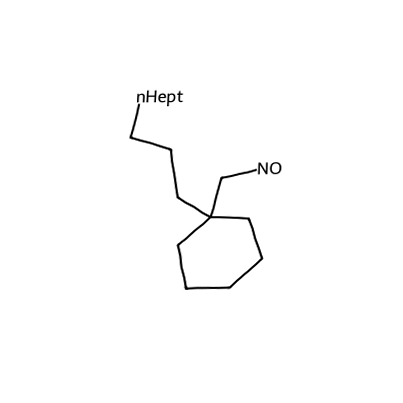 CCCCCCCCCCC1(CN=O)CCCCC1